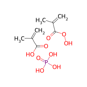 C=C(C)C(=O)O.C=C(C)C(=O)OO.O=P(O)(O)O